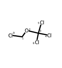 ClCOC(Cl)(Cl)Cl